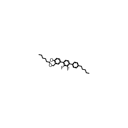 CCCCCc1ccc(-c2ccc(-c3ccc4c(c3)COC(CCCCC)O4)c(F)c2F)cc1